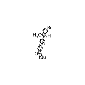 Cc1c(-c2ccc(N3CCN(C(=O)OC(C)(C)C)CC3)nc2)[nH]c2cc(Br)ccc12